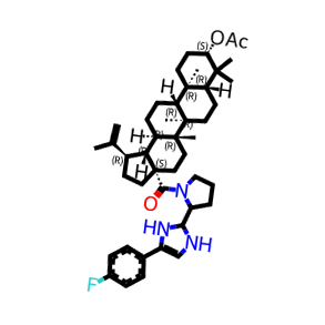 C=C(C)[C@@H]1CC[C@]2(C(=O)N3CCCC3C3NC=C(c4ccc(F)cc4)N3)CC[C@]3(C)[C@H](CC[C@@H]4[C@@]5(C)CC[C@H](OC(C)=O)C(C)(C)[C@@H]5CC[C@]43C)[C@@H]12